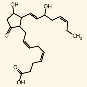 CC/C=C\CC(O)/C=C/C1C(O)CC(=O)C1C/C=C\C/C=C\CCC(=O)O